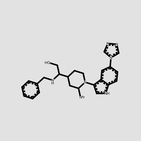 CCCC1CC(C(CO)NCc2ccccc2)CCN1c1c[nH]c2ccc(-n3cnnc3)cc12